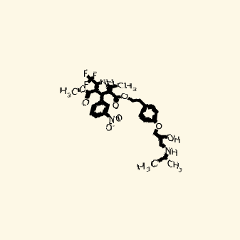 COC(=O)C1=C(C(F)(F)F)NC(C)=C(C(=O)OCCc2ccc(OCC(O)CNC(C)C)cc2)C1c1cccc([N+](=O)[O-])c1